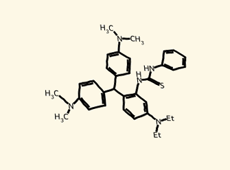 CCN(CC)c1ccc(C(c2ccc(N(C)C)cc2)c2ccc(N(C)C)cc2)c(NC(=S)Nc2ccccc2)c1